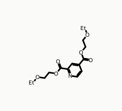 CCOCCOC(=O)c1ccnc(C(=O)OCCOCC)c1